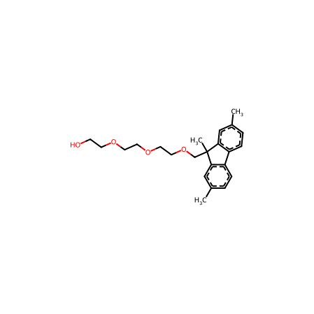 Cc1ccc2c(c1)C(C)(COCCOCCOCCO)c1cc(C)ccc1-2